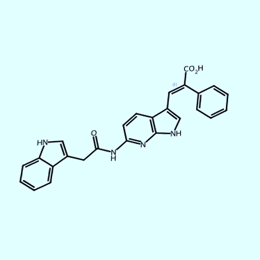 O=C(Cc1c[nH]c2ccccc12)Nc1ccc2c(/C=C(/C(=O)O)c3ccccc3)c[nH]c2n1